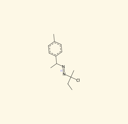 CCC(C)(Cl)/N=N/C(C)c1ccc(C)cc1